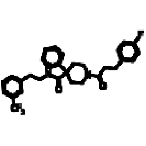 O=C(CCc1ccc(F)cc1)N1CCC(C(=O)NCCc2cccc(C(F)(F)F)c2)(c2ccccc2)CC1